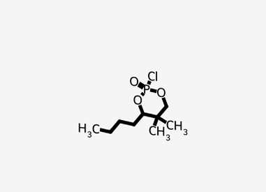 CCCCC1OP(=O)(Cl)OCC1(C)C